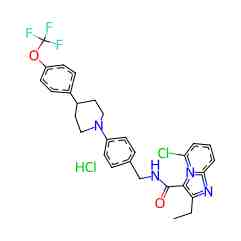 CCc1nc2cccc(Cl)n2c1C(=O)NCc1ccc(N2CCC(c3ccc(OC(F)(F)F)cc3)CC2)cc1.Cl